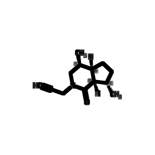 C#CCN1C[C@@H](C)[C@H]2CC[C@H](C)[C@H]2C1=O